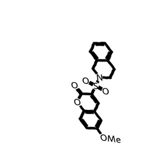 COc1ccc2oc(=O)c(S(=O)(=O)N3CCc4ccccc4C3)cc2c1